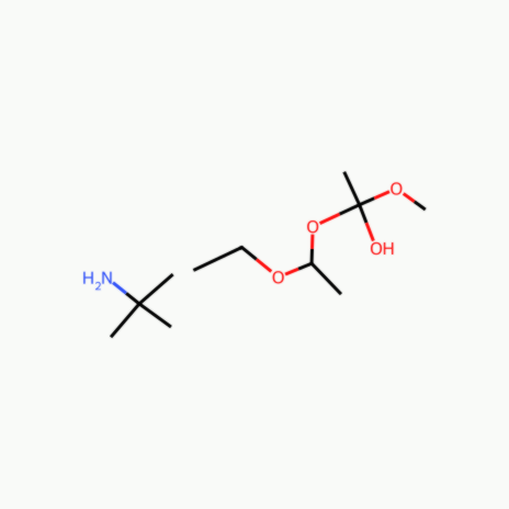 CC(C)(C)N.CCOC(C)OC(C)(O)OC